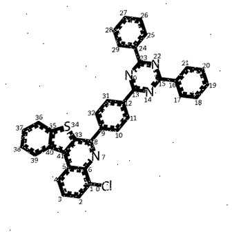 Clc1cccc2c1nc(-c1ccc(-c3nc(-c4ccccc4)nc(-c4ccccc4)n3)cc1)c1sc3ccccc3c12